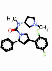 CN1CC[C@@H](N(C)C(=O)N2CC(c3cc(F)ccc3F)=C[C@H]2c2ccccc2)C1